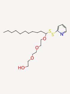 CCCCCCCCCCC(OCCOCCOCCO)SSc1ccccn1